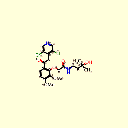 COc1ccc(C(=O)Cc2c(Cl)cncc2Cl)c(OCC(=O)NCCC(C)(C)O)c1OC